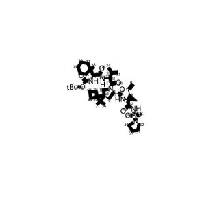 C=C[C@@H]1C[C@]1(NC(=O)[C@@H]1C[C@@]2(CN1C(=O)[C@@H](NC(=O)[C@@H](NC(=O)OC(C)(C)C)C1(C)CCCCC1)C(=C)C)C(C)(C)C21CCC1)C(=O)NS(=O)(=O)N1CCCC1